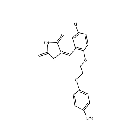 COc1ccc(OCCOc2ccc(Cl)cc2C=C2SC(=S)NC2=O)cc1